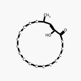 CC1/C=C(\O)C(=O)CCCCCCCCCCCCCCCC1